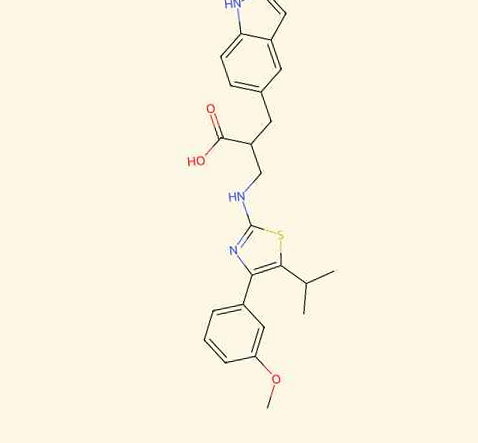 COc1cccc(-c2nc(NCC(Cc3ccc4[nH]ccc4c3)C(=O)O)sc2C(C)C)c1